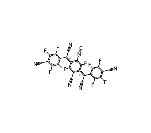 [C-]#[N+]c1c(F)/c(=C(/C#N)c2c(F)c(F)c(C#N)c(F)c2F)c(C#N)c(F)/c1=C(/C#N)c1c(F)c(F)c(C#N)c(F)c1F